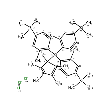 CC1=C(C)[C]([Ti+3])([Si](c2ccc([Si](C)(C)C)cc2C)(c2ccc([Si](C)(C)C)cc2C)c2ccc([Si](C)(C)C)cc2C)C(C)=C1C.[Cl-].[Cl-].[Cl-]